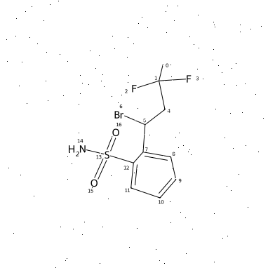 CC(F)(F)CC(Br)c1ccccc1S(N)(=O)=O